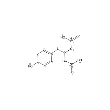 O=[PH](O)OC(Cc1ccc(O)cc1)O[PH](=O)O